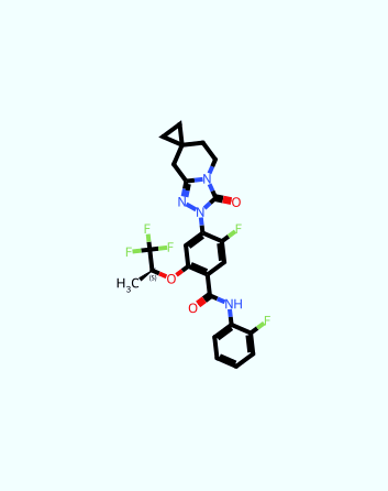 C[C@H](Oc1cc(-n2nc3n(c2=O)CCC2(CC2)C3)c(F)cc1C(=O)Nc1ccccc1F)C(F)(F)F